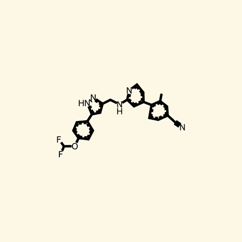 Cc1cc(C#N)ccc1-c1ccnc(NCc2cc(-c3ccc(OC(F)F)cc3)[nH]n2)c1